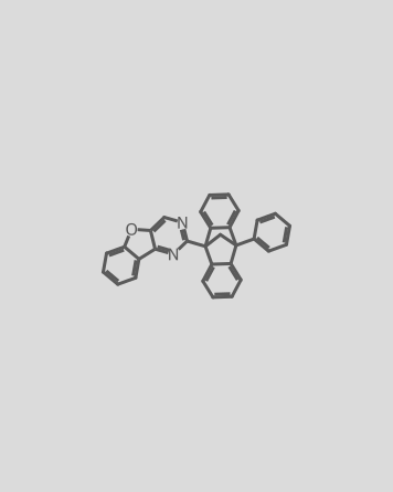 c1ccc(C23CC(c4ncc5oc6ccccc6c5n4)(c4ccccc42)c2ccccc23)cc1